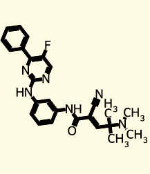 CN(C)C(C)(C)/C=C(\C#N)C(=O)Nc1cccc(Nc2ncc(F)c(-c3ccccc3)n2)c1